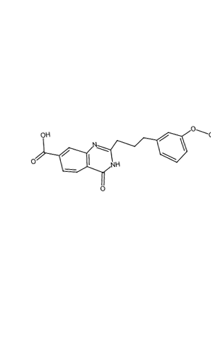 COc1cccc(CCCc2nc3cc(C(=O)O)ccc3c(=O)[nH]2)c1